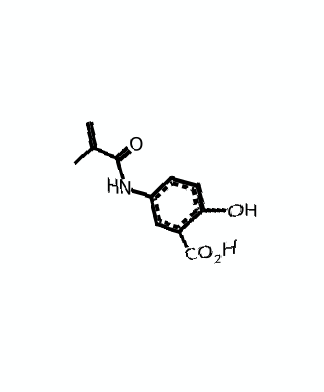 C=C(C)C(=O)Nc1ccc(O)c(C(=O)O)c1